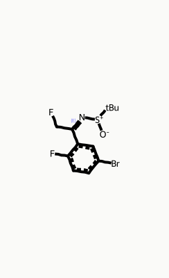 CC(C)(C)[S+]([O-])/N=C(/CF)c1cc(Br)ccc1F